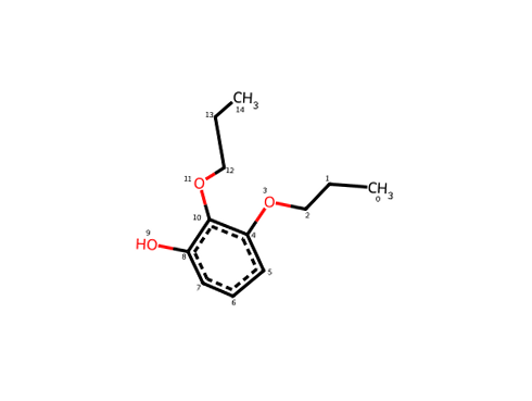 CCCOc1cccc(O)c1OCCC